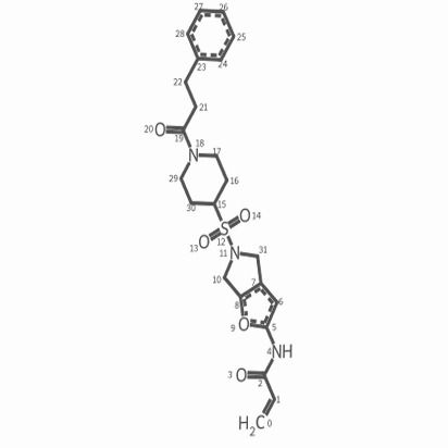 C=CC(=O)Nc1cc2c(o1)CN(S(=O)(=O)C1CCN(C(=O)CCc3ccccc3)CC1)C2